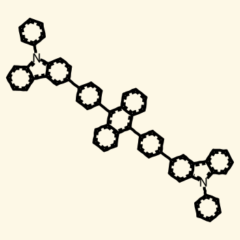 c1ccc(-n2c3ccccc3c3cc(-c4ccc(-c5c6ccccc6c(-c6ccc(-c7ccc8c(c7)c7ccccc7n8-c7ccccc7)cc6)c6ccccc56)cc4)ccc32)cc1